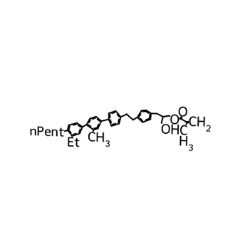 C=C(C)C(=O)OCC(CO)Cc1ccc(CCc2ccc(-c3ccc(-c4ccc(CCCCC)c(CC)c4)c(C)c3)cc2)cc1